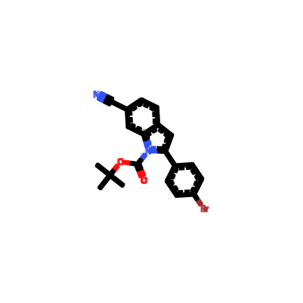 CC(C)(C)OC(=O)n1c(-c2ccc(Br)cc2)cc2ccc(C#N)cc21